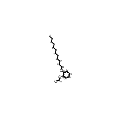 CCCCCCCCCCCCOc1ccccc1O[C]=O